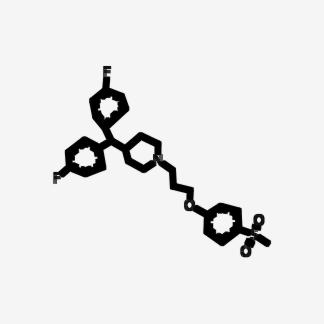 CS(=O)(=O)c1ccc(OCCCN2CCC(C(c3ccc(F)cc3)c3ccc(F)cc3)CC2)cc1